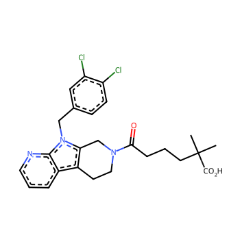 CC(C)(CCCC(=O)N1CCc2c(n(Cc3ccc(Cl)c(Cl)c3)c3ncccc23)C1)C(=O)O